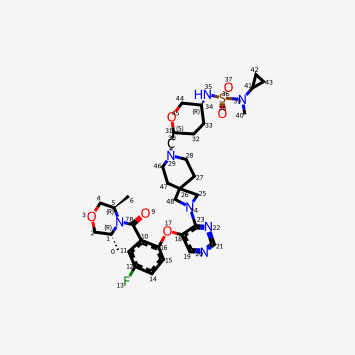 C[C@@H]1COC[C@@H](C)N1C(=O)c1cc(F)ccc1Oc1cncnc1N1CC2(CCN(C[C@@H]3CC[C@@H](NS(=O)(=O)N(C)C4CC4)CO3)CC2)C1